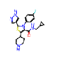 O=C(NCC1CC1)C1=C(C2CCNCC2)SC(c2cn[nH]c2)N1c1ccc(F)cc1